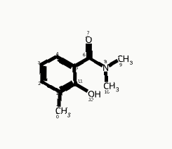 Cc1cccc(C(=O)N(C)C)c1O